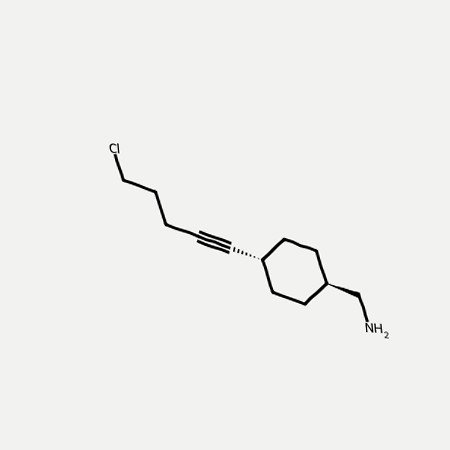 NC[C@H]1CC[C@H](C#CCCCCl)CC1